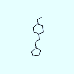 CCN1CCC(CCN2CCCC2)CC1